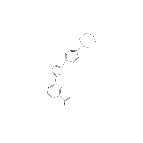 O=C(O)c1cccc(-c2nnc(-c3ccc(N4CCCCC4)cc3)o2)c1